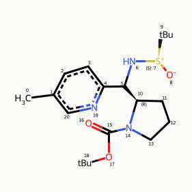 Cc1ccc(C(N[S@+]([O-])C(C)(C)C)[C@H]2CCCN2C(=O)OC(C)(C)C)nc1